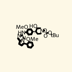 COc1cc([C@@H]2CCN(OC(=O)OC(C)(C)C)C[C@@H]2O)ccc1Nc1ncc2ccc(-c3ccccc3OC)n2n1